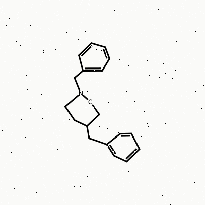 c1ccc(CC2CCN(Cc3ccccc3)CC2)cc1